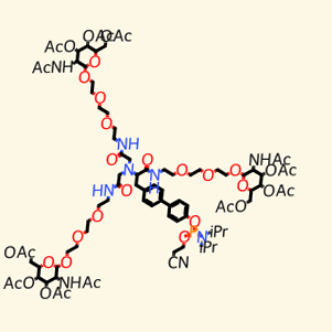 CC(=O)NC1C(OCCOCCOCCNC(=O)CN(CC(=O)NCCOCCOCCOC2OC(COC(C)=O)C(OC(C)=O)C(OC(C)=O)C2NC(C)=O)C(Cc2ccc(-c3ccc(OP(OCCC#N)N(C(C)C)C(C)C)cc3)cc2)C(=O)NCCOCCOCCOC2OC(COC(C)=O)C(OC(C)=O)C(OC(C)=O)C2NC(C)=O)OC(COC(C)=O)C(OC(C)=O)C1OC(C)=O